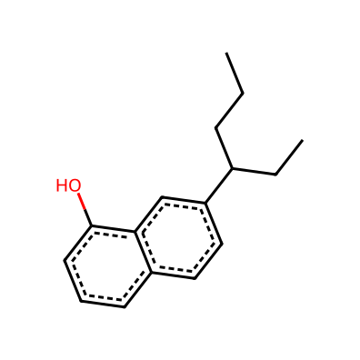 CCCC(CC)c1ccc2cccc(O)c2c1